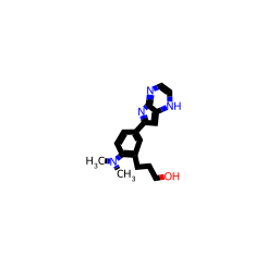 CN(C)c1ccc(-c2cc3[nH]ccnc-3n2)cc1CCCO